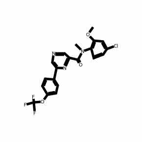 COc1cc(Cl)ccc1N(C)C(=O)c1cncc(-c2ccc(OC(F)(F)F)cc2)n1